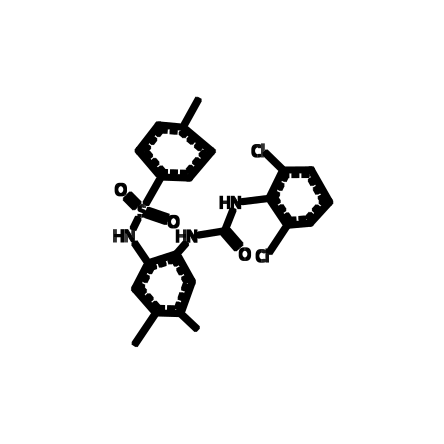 Cc1ccc(S(=O)(=O)Nc2cc(C)c(C)cc2NC(=O)Nc2c(Cl)cccc2Cl)cc1